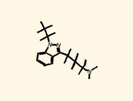 CN(C)C(C)(C)C(C)(C)C(C)(C)c1nn(C(C)(C)C(C)(C)C)c2ccccc12